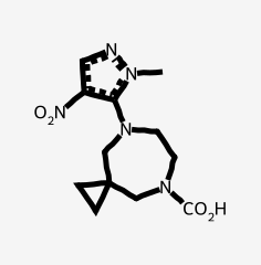 Cn1ncc([N+](=O)[O-])c1N1CCN(C(=O)O)CC2(CC2)C1